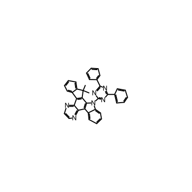 CC1(C)c2ccccc2-c2c1c1c(c3ccccc3n1-c1nc(-c3ccccc3)nc(-c3ccccc3)n1)c1nccnc21